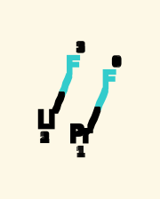 [F][Pr].[Li][F]